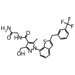 Cc1c(C(=O)NCC(N)=O)c(CO)nn1-c1cccc2cc(Cc3cccc(C(F)(F)F)c3)sc12